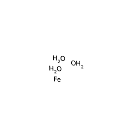 O.O.O.[Fe]